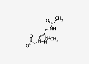 C=CC(=O)NCc1cn(CC(=O)[O-])n[n+]1C